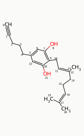 C#CCCCc1cc(O)c(C/C=C(\C)CCC=C(C)C)c(O)c1